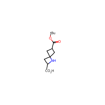 CC(C)(C)OC(=O)C1CC2(C1)CC(C(=O)O)N2